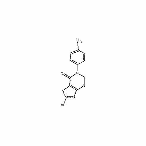 Nc1ccc(-n2cnc3cc(Br)sc3c2=O)cc1